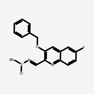 CC(C)(C)[S+]([O-])/N=C/c1nc2ccc(F)cc2cc1OCc1ccccc1